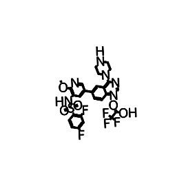 COc1ncc(-c2ccc3ncnc(N4CCNCC4)c3c2)cc1NS(=O)(=O)c1ccc(F)cc1F.O=C(O)C(F)(F)F